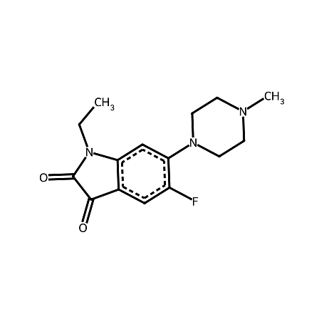 CCN1C(=O)C(=O)c2cc(F)c(N3CCN(C)CC3)cc21